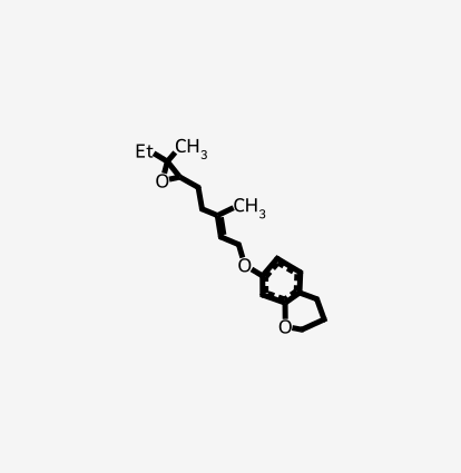 CCC1(C)OC1CC/C(C)=C/COc1ccc2c(c1)OCCC2